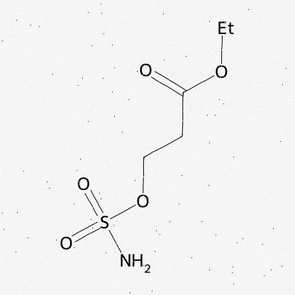 CCOC(=O)CCOS(N)(=O)=O